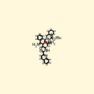 CC(C)(C)OC(=O)NN(CC1CCCCC1)CC(O)C(C(=O)[C@H](CC(N)=O)NC(=O)c1ccc2ccccc2n1)C(N)c1ccccc1